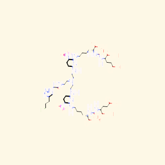 O=C(O)CCC(NC(=O)N[C@@H](CCCCNc1nc(NCCN(CCNC(=O)Cn2cc(CCCF)nn2)CCNc2ccc([N+](=O)[O-])c(NCCCC[C@H](NC(=O)NC(CCC(=O)O)C(=O)O)C(=O)O)n2)ccc1[N+](=O)[O-])C(=O)O)C(=O)O